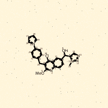 COc1nc2ccc(C(O)c3cnnn3C)cc2c(Cl)c1Cc1ccc(-n2cccc2)cc1